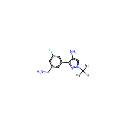 [2H]C([2H])([2H])n1cc(N)c(-c2cc(F)cc(CN)c2)n1